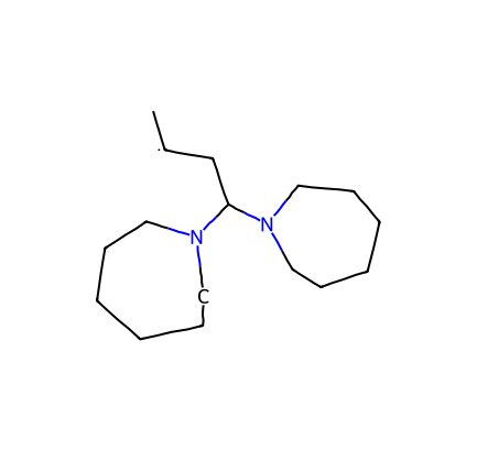 C[CH]CC(N1CCCCCC1)N1CCCCCC1